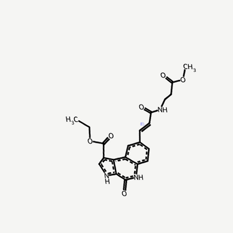 CCOC(=O)c1c[nH]c2c(=O)[nH]c3ccc(/C=C/C(=O)NCCC(=O)OC)cc3c12